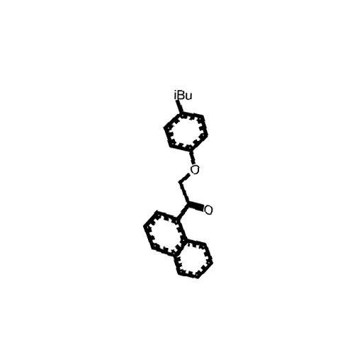 CCC(C)c1ccc(OCC(=O)c2cccc3ccccc23)cc1